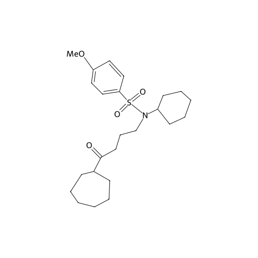 COc1ccc(S(=O)(=O)N(CCCC(=O)C2CCCCCC2)C2CCCCC2)cc1